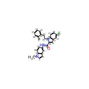 Cn1ccc2cc(NC(=O)c3cc4cc(F)ccc4n3CCc3ccccc3F)ccc21